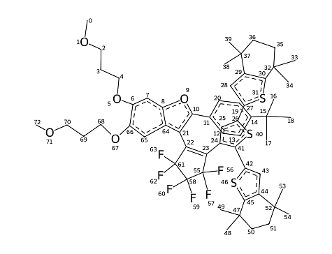 COCCCOc1cc2oc(-c3ccc(C(C)(C)C)cc3)c(C3=C(c4cc(-c5cc6c(s5)C(C)(C)CCC6(C)C)sc4-c4cc5c(s4)C(C)(C)CCC5(C)C)C(F)(F)C(F)(F)C3(F)F)c2cc1OCCCOC